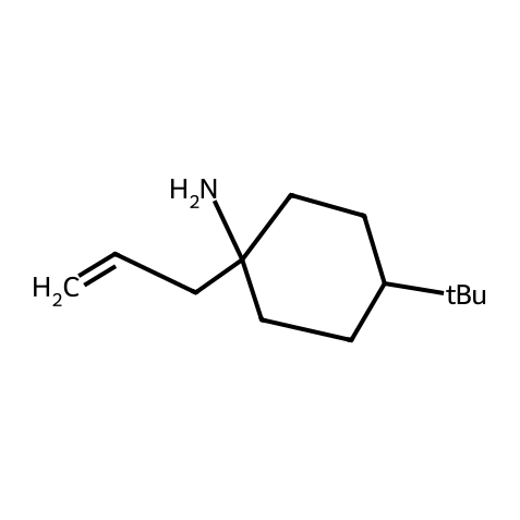 C=CCC1(N)CCC(C(C)(C)C)CC1